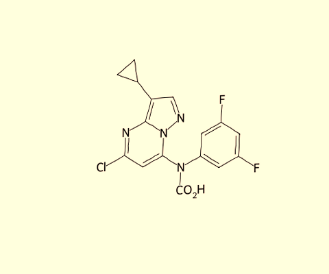 O=C(O)N(c1cc(F)cc(F)c1)c1cc(Cl)nc2c(C3CC3)cnn12